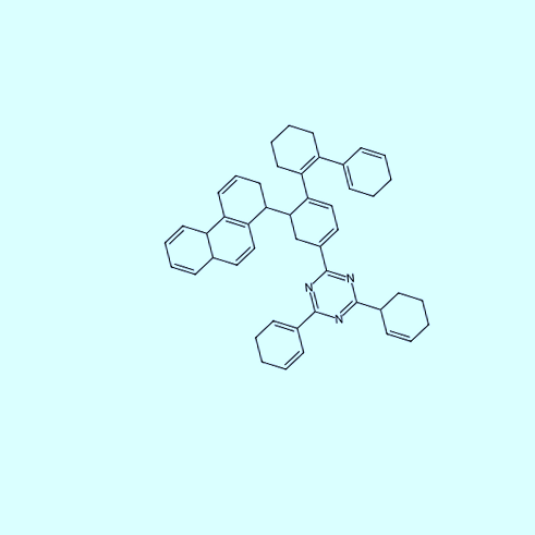 C1=CC2C=CC3=C(C=CCC3C3CC(c4nc(C5=CCCC=C5)nc(C5C=CCCC5)n4)=CC=C3C3=C(C4=CCCC=C4)CCCC3)C2C=C1